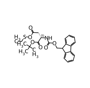 CCSOC(=O)C[C@H](NC(=O)OCC1c2ccccc2-c2ccccc21)C(=O)OC(C)(C)C